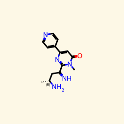 C[C@@H](N)CC(=N)c1nc(-c2ccncc2)cc(=O)n1C